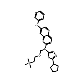 C[Si](C)(C)CCOCN(c1ccc2ncc(Nc3cccnc3)cc2n1)c1nnc(C2CCCC2)s1